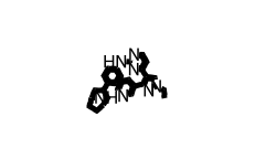 CCn1cc(-c2ccnc(Nc3ccc(C4CC5CCC(C4)N5)cc3)n2)c(-c2cccnc2)n1